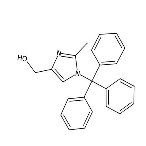 Cc1nc(CO)cn1C(c1ccccc1)(c1ccccc1)c1ccccc1